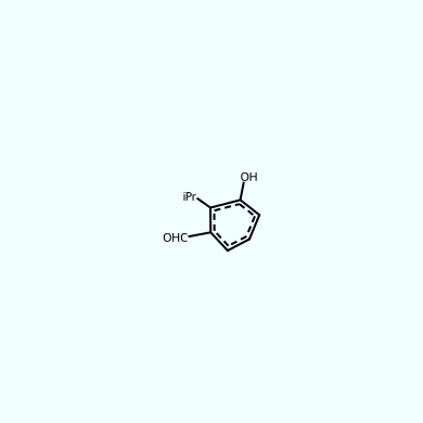 CC(C)c1c(O)cccc1C=O